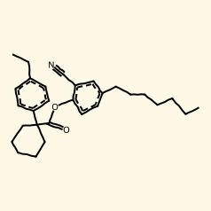 CCCCCCCc1ccc(OC(=O)C2(c3ccc(CC)cc3)CCCCC2)c(C#N)c1